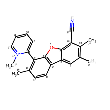 Cc1cc2c(oc3c(-c4cccc[n+]4C)c(C)ccc32)c(C#N)c1C